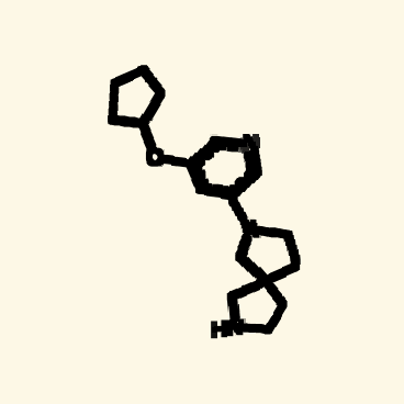 c1ncc(N2CCC3(CCNC3)C2)cc1OC1CCCC1